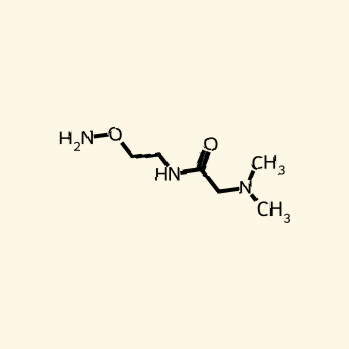 CN(C)CC(=O)NCCON